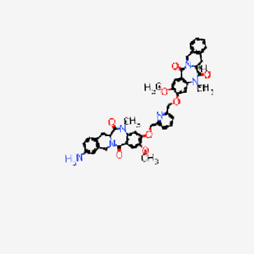 COc1cc2c(cc1OCc1cccc(COc3cc4c(cc3OC)C(=O)N3Cc5ccccc5C[C@H]3C(=O)N4C)n1)N(C)C(=O)C1Cc3ccc(N)cc3CN1C2=O